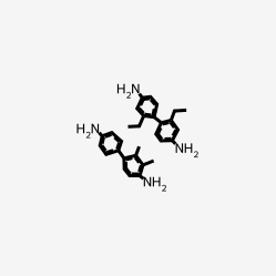 CCc1cc(N)ccc1-c1ccc(N)cc1CC.Cc1c(N)ccc(-c2ccc(N)cc2)c1C